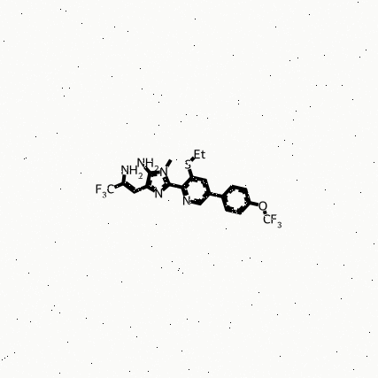 CCSc1cc(-c2ccc(OC(F)(F)F)cc2)cnc1-c1nc(/C=C(\N)C(F)(F)F)c(N)n1C